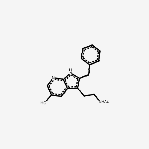 CC(=O)NCCc1c(Cc2ccccc2)[nH]c2ncc(O)cc12